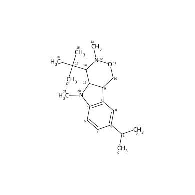 CC(C)c1ccc2c(c1)C1CON(C)C(C(C)(C)C)C1N2C